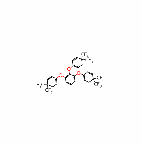 FC(F)(F)C1(C(F)(F)F)C=CC(Oc2cccc(OC3=CCC(C(F)(F)F)(C(F)(F)F)C=C3)c2OC2=CCC(C(F)(F)F)(C(F)(F)F)C=C2)=CC1